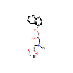 CCOC(CN(CC(O)COc1cccc2ccccc12)C(C)C)OCC